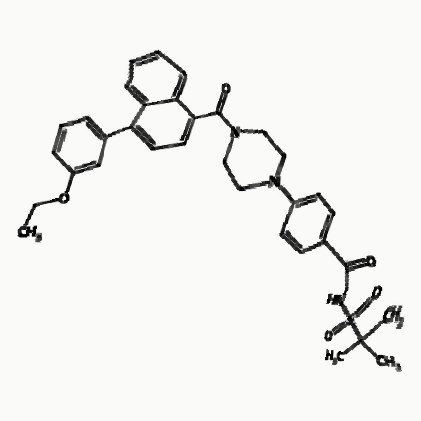 CCOc1cccc(-c2ccc(C(=O)N3CCN(c4ccc(C(=O)NS(=O)(=O)C(C)(C)C)cc4)CC3)c3ccccc23)c1